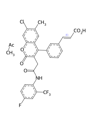 CC(C)=O.Cc1cc2c(-c3cccc(/C=C/C(=O)O)c3)c(CC(=O)Nc3ccc(F)cc3C(F)(F)F)c(=O)oc2cc1Cl